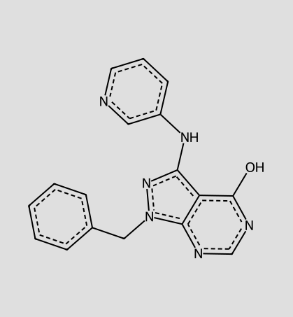 Oc1ncnc2c1c(Nc1cccnc1)nn2Cc1ccccc1